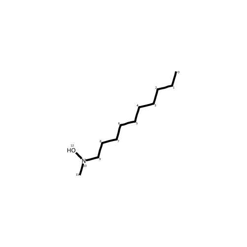 CCCCCCCCCCN(C)O